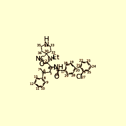 CCN(C(=O)[C@H](C[C@H](C)c1ccccc1)NC(=O)c1ccc(-c2ccccc2Cl)cc1)C1(C#N)CCNCC1